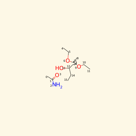 CC(N)=O.CCO[Si](C)(OCC)C(O)CC